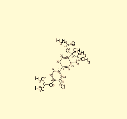 CC(C)Oc1ccc(C2=CC3=CC(C)(C)[C@@](C)(OC(N)=O)C3=CC2)cc1Cl